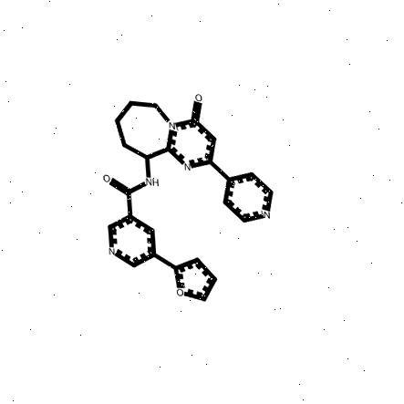 O=C(NC1CCCCn2c1nc(-c1ccncc1)cc2=O)c1cncc(-c2ccco2)c1